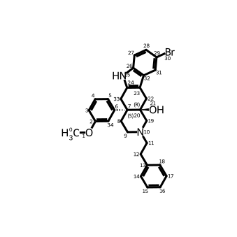 COc1cccc([C@@]23CCN(CCc4ccccc4)C[C@@]2(O)Cc2c([nH]c4ccc(Br)cc24)C3)c1